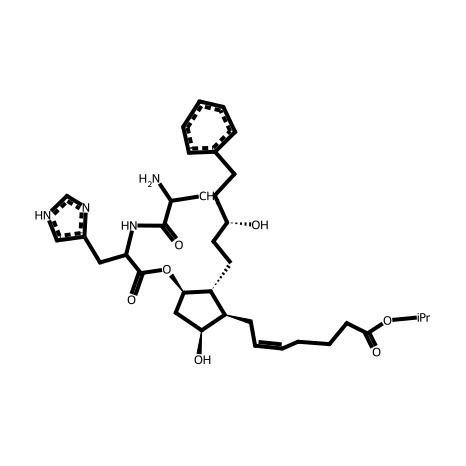 CC(C)OC(=O)CCC/C=C\C[C@@H]1[C@@H](CC[C@@H](O)CCc2ccccc2)[C@H](OC(=O)C(Cc2c[nH]cn2)NC(=O)C(C)N)C[C@@H]1O